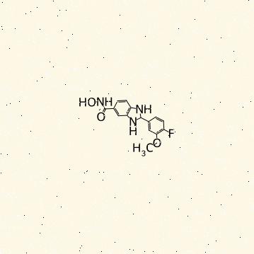 COc1cc(C2Nc3ccc(C(=O)NO)cc3N2)ccc1F